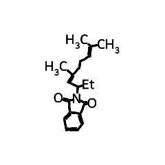 CCC(C=C(C)CCC=C(C)C)N1C(=O)c2ccccc2C1=O